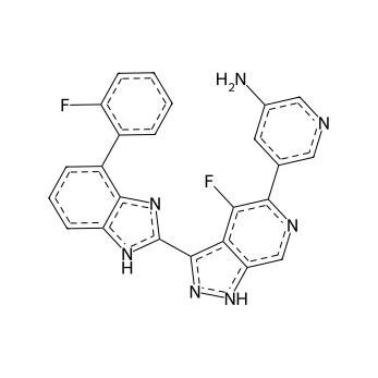 Nc1cncc(-c2ncc3[nH]nc(-c4nc5c(-c6ccccc6F)cccc5[nH]4)c3c2F)c1